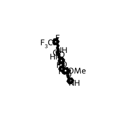 COc1cc2c(Oc3ccc(NC(=O)C(=O)NCCc4cc(F)cc(C(F)(F)F)c4)cc3F)ccnc2cc1OCC1CCNCC1